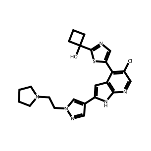 OC1(c2ncc(-c3c(Cl)cnc4[nH]c(-c5cnn(CCN6CCCC6)c5)cc34)s2)CCC1